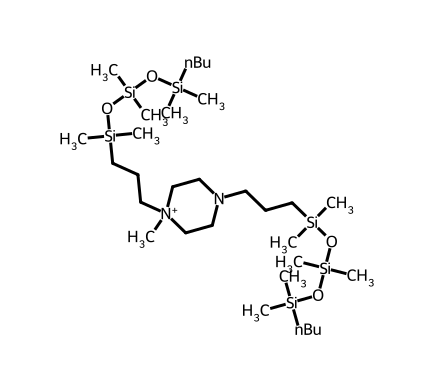 CCCC[Si](C)(C)O[Si](C)(C)O[Si](C)(C)CCCN1CC[N+](C)(CCC[Si](C)(C)O[Si](C)(C)O[Si](C)(C)CCCC)CC1